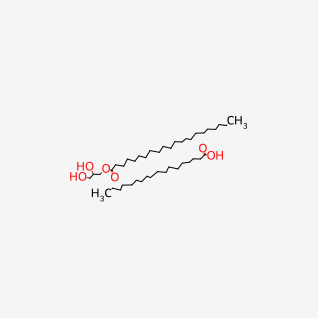 CCCCCCCCCCCCCCCCCC(=O)O.CCCCCCCCCCCCCCCCCCCCCC(=O)OCC(O)CO